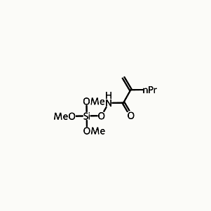 C=C(CCC)C(=O)NO[Si](OC)(OC)OC